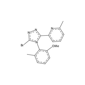 COc1cccc(C)c1-n1c(Br)nnc1-c1cccc(C)n1